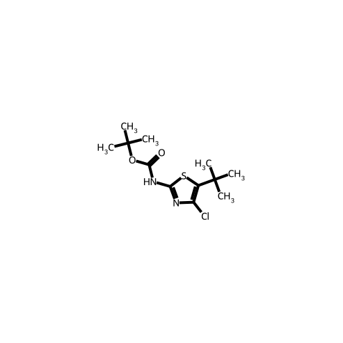 CC(C)(C)OC(=O)Nc1nc(Cl)c(C(C)(C)C)s1